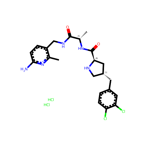 Cc1nc(N)ccc1CNC(=O)[C@H](C)NC(=O)[C@H]1C[C@H](Cc2ccc(Cl)c(Cl)c2)CN1.Cl.Cl